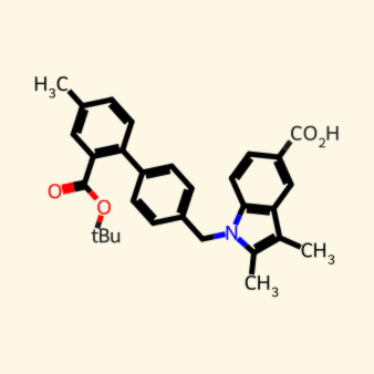 Cc1ccc(-c2ccc(Cn3c(C)c(C)c4cc(C(=O)O)ccc43)cc2)c(C(=O)OC(C)(C)C)c1